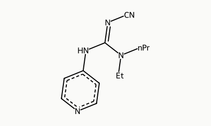 CCCN(CC)C(=NC#N)Nc1ccncc1